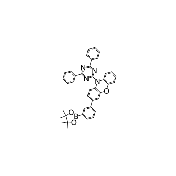 CC1(C)OB(c2cccc(-c3ccc4c(c3)Oc3ccccc3N4c3nc(-c4ccccc4)nc(-c4ccccc4)n3)c2)OC1(C)C